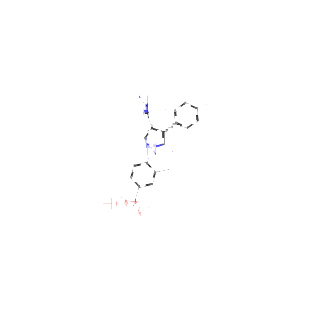 Cc1cc(C(=O)O)ccc1-n1cc(C#N)c(-c2ccccc2)c1